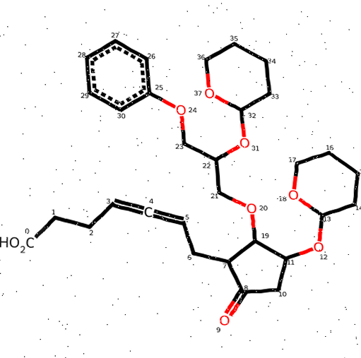 O=C(O)CCC=C=CCC1C(=O)CC(OC2CCCCO2)C1OCC(COc1ccccc1)OC1CCCCO1